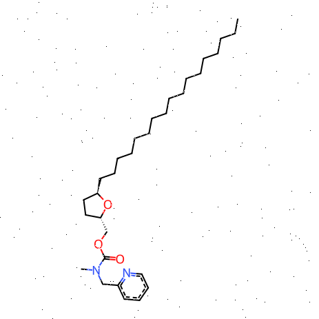 CCCCCCCCCCCCCCCCC[C@@H]1CC[C@@H](COC(=O)N(C)Cc2ccccn2)O1